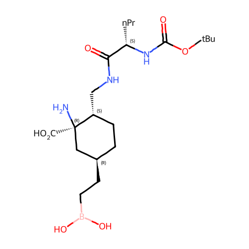 CCC[C@H](NC(=O)OC(C)(C)C)C(=O)NC[C@@H]1CC[C@@H](CCB(O)O)C[C@]1(N)C(=O)O